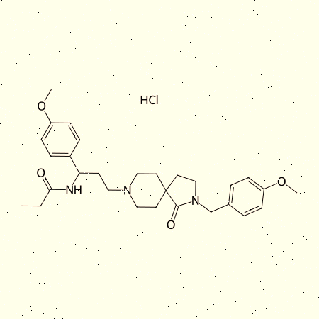 CCC(=O)NC(CCN1CCC2(CC1)CCN(Cc1ccc(OC)cc1)C2=O)c1ccc(OC)cc1.Cl